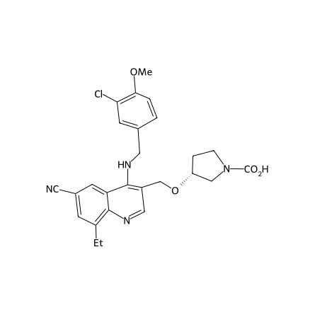 CCc1cc(C#N)cc2c(NCc3ccc(OC)c(Cl)c3)c(CO[C@@H]3CCN(C(=O)O)C3)cnc12